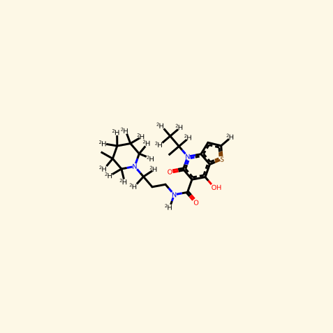 [2H]c1cc2c(s1)c(O)c(C(=O)N([2H])CCC([2H])([2H])N1C([2H])([2H])C([2H])([2H])C([2H])([2H])C([2H])(C)C1([2H])[2H])c(=O)n2C([2H])(C)C([2H])([2H])[2H]